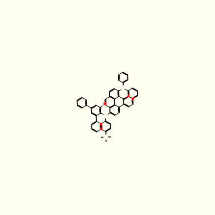 C[Si](C)(C)c1ccc(B(c2c(F)cc(-c3ccccc3)cc2-c2ccccc2)c2ccc3c4ccccc4c4c(N(c5ccccc5)c5ccccc5)ccc5ccc2c3c54)cc1